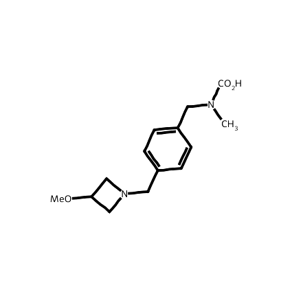 COC1CN(Cc2ccc(CN(C)C(=O)O)cc2)C1